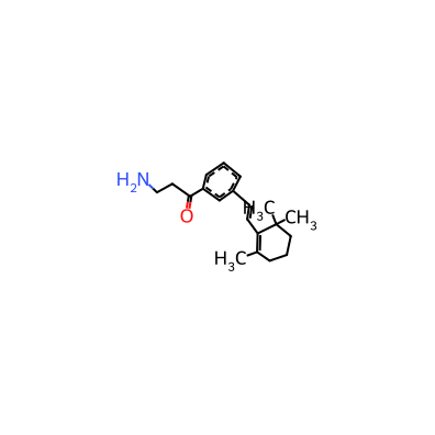 CC1=C(C=Cc2cccc(C(=O)CCN)c2)C(C)(C)CCC1